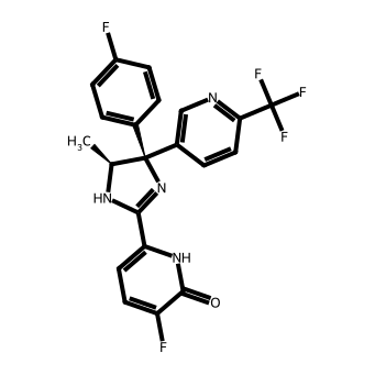 C[C@@H]1NC(c2ccc(F)c(=O)[nH]2)=N[C@@]1(c1ccc(F)cc1)c1ccc(C(F)(F)F)nc1